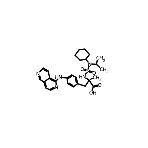 CC(C)N(C1CCCCC1)S(=O)(=O)N[C@@](C)(Cc1ccc(Nc2nccc3cnccc23)cc1)C(=O)O